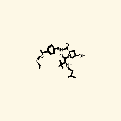 CC/N=C\SC(C)c1ccc(CNC(=O)[C@@H]2C[C@@H](O)CN2C(=O)[C@@H](NCCC(C)C)C(C)(C)C)cc1